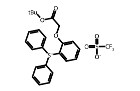 CC(C)(C)OC(=O)COc1ccccc1[S+](c1ccccc1)c1ccccc1.O=S(=O)([O-])C(F)(F)F